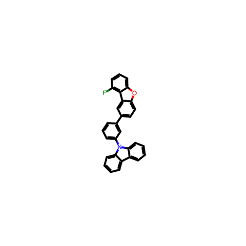 Fc1cccc2oc3ccc(-c4cccc(-n5c6ccccc6c6ccccc65)c4)cc3c12